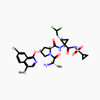 COc1cnc(O[C@@H]2C[C@@H](C(=O)N[C@]3(C(=O)NS(=O)(=O)C4CC4)C[C@H]3CC(F)F)N(C(=O)[C@@H](N)C(C)(C)C)C2)c2cc(Cl)ccc12